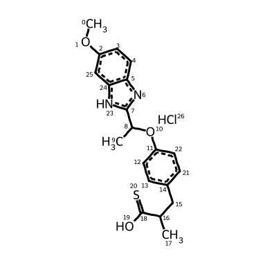 COc1ccc2nc(C(C)Oc3ccc(CC(C)C(O)=S)cc3)[nH]c2c1.Cl